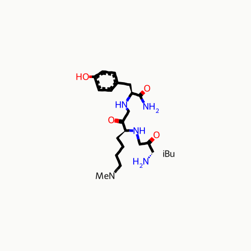 CC[C@H](C)[C@H](N)C(=O)CN[C@@H](CCCCNC)C(=O)CN[C@@H](Cc1ccc(O)cc1)C(N)=O